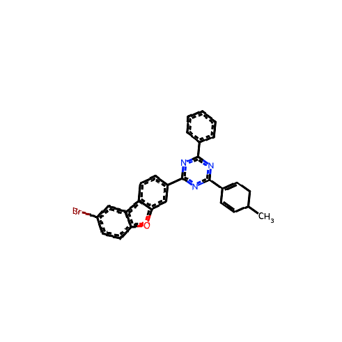 CC1C=CC(c2nc(-c3ccccc3)nc(-c3ccc4c(c3)oc3ccc(Br)cc34)n2)=CC1